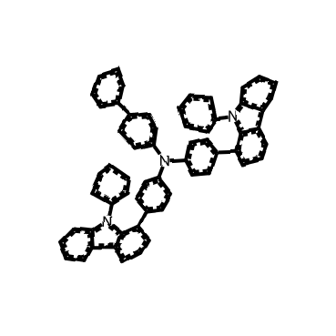 c1ccc(-c2ccc(N(c3ccc(-c4cccc5c6ccccc6n(-c6ccccc6)c45)cc3)c3ccc(-c4cccc5c6ccccc6n(-c6ccccc6)c45)cc3)cc2)cc1